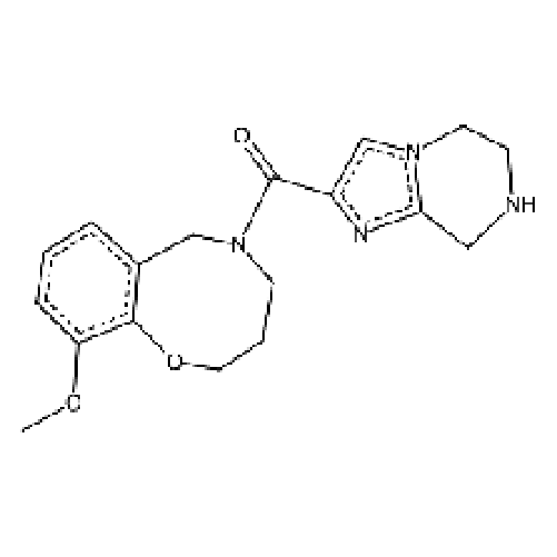 COc1cccc2c1OCCCN(C(=O)c1cn3c(n1)CNCC3)C2